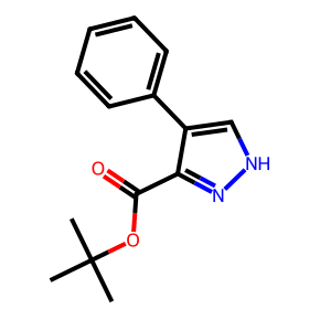 CC(C)(C)OC(=O)c1n[nH]cc1-c1ccccc1